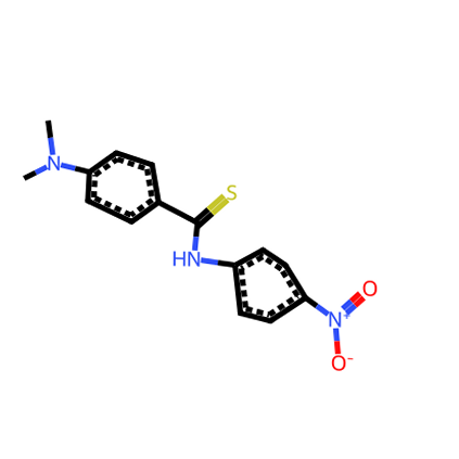 CN(C)c1ccc(C(=S)Nc2ccc([N+](=O)[O-])cc2)cc1